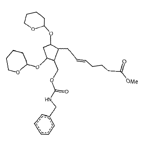 COC(=O)CCCC=CCC1C(OC2CCCCO2)CC(OC2CCCCO2)C1COC(=O)NCc1ccccc1